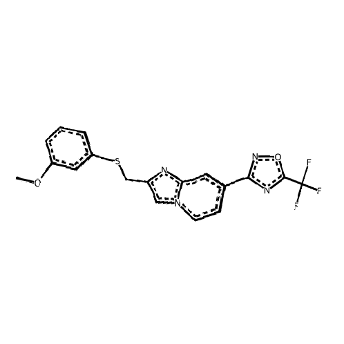 COc1cccc(SCc2cn3ccc(-c4noc(C(F)(F)F)n4)cc3n2)c1